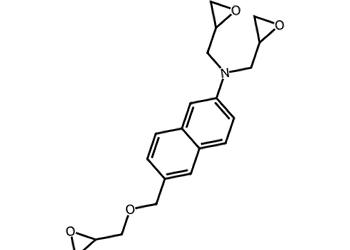 c1cc2cc(N(CC3CO3)CC3CO3)ccc2cc1COCC1CO1